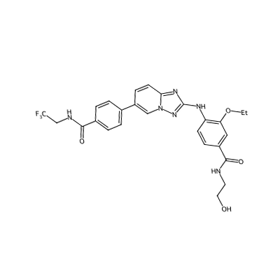 CCOc1cc(C(=O)NCCO)ccc1Nc1nc2ccc(-c3ccc(C(=O)NCC(F)(F)F)cc3)cn2n1